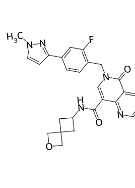 Cn1ccc(-c2ccc(Cn3cc(C(=O)NC4CC5(COC5)C4)c4ncccc4c3=O)c(F)c2)n1